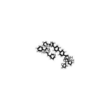 O=C(Cc1cccnc1)N[C@@H](C(=O)N1CCC[C@H]1c1ncc(-c2ccc(-c3ccc(-c4c[nH]c([C@]5(C(=O)[C@H]6CCCO6)CCCN5)n4)cc3)cc2)[nH]1)c1ccccc1